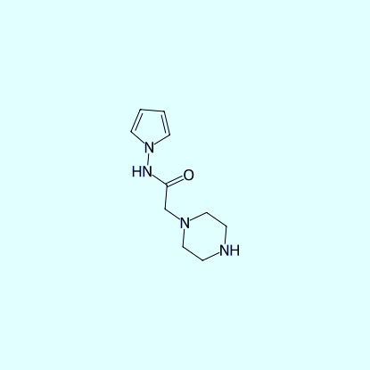 O=C(CN1CCNCC1)Nn1cccc1